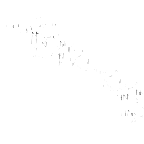 COCON[C@H](C(=O)N1CCC[C@H]1c1ncc(-c2ccc(C#Cc3ccc(-c4cnc([C@@H]5CCCN5)[nH]4)cc3)cc2)[nH]1)C(C)C